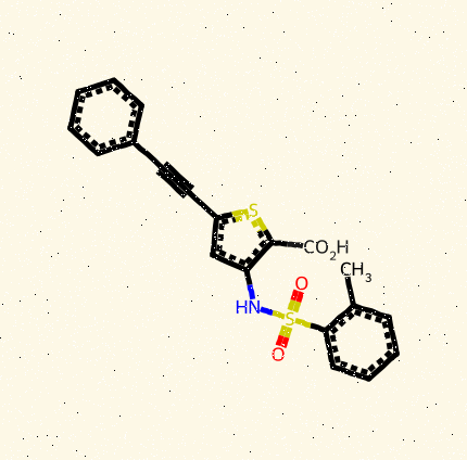 Cc1ccccc1S(=O)(=O)Nc1cc(C#Cc2ccccc2)sc1C(=O)O